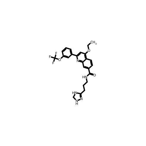 CCOc1cc(-c2cccc(OC(F)(F)F)c2)nc2cc(C(=O)NCCCC3=NNCN3)ccc12